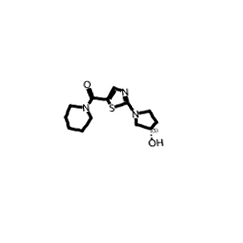 O=C(c1cnc(N2CC[C@H](O)C2)s1)N1CCCCC1